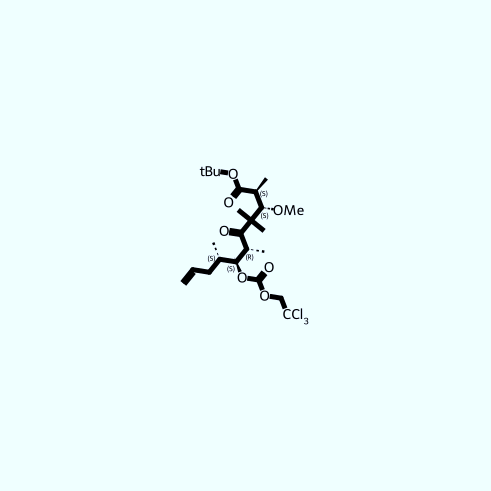 C=CC[C@H](C)[C@H](OC(=O)OCC(Cl)(Cl)Cl)[C@@H](C)C(=O)C(C)(C)[C@@H](OC)[C@H](C)C(=O)OC(C)(C)C